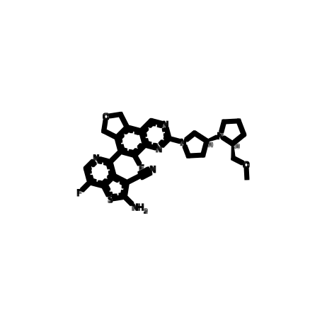 COC[C@@H]1CCCN1[C@H]1CCN(c2ncc3c4c(c(-c5ncc(F)c6sc(N)c(C#N)c56)c(F)c3n2)COC4)C1